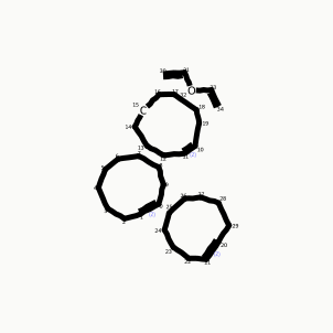 C1=C\CCCCCCCC/1.C1=C\CCCCCCCC/1.C1=C\CCCCCCCC/1.C=COC=C